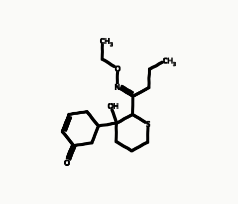 CCCC(=NOCC)C1SCCCC1(O)C1CC=CC(=O)C1